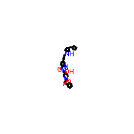 C[C@H](CC(=O)N1CCC(O)(Cn2cnc3cc(C#CCNC4CCC(CC5CCCC5)C4)ccc3c2=O)CC1)c1ccccc1